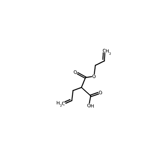 C=CCOC(=O)C(CC=C)C(=O)O